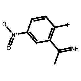 CC(=N)c1cc([N+](=O)[O-])ccc1F